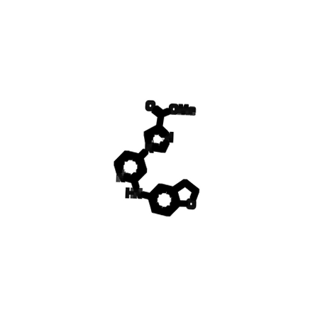 COC(=O)c1cn(-c2ccnc(Nc3ccc4c(c3)CCO4)c2)cn1